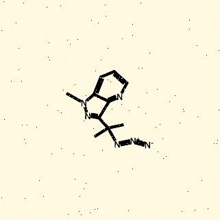 Cn1nc(C(C)(C)N=[N+]=[N-])c2ncccc21